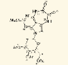 CSc1nc2c3c(cn(CO[C@H](COC(C)=O)[C@@H](OC(C)=O)[C@H](C)OC(C)=O)c3n1)NC(=O)C(=O)N2